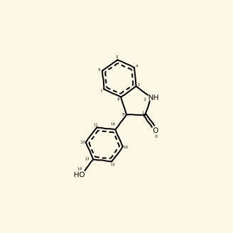 O=C1Nc2ccccc2C1c1ccc(O)cc1